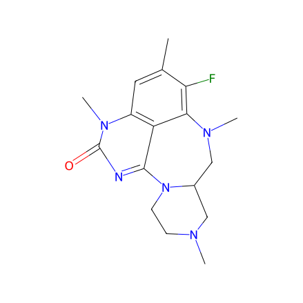 Cc1cc2c3c(nc(=O)n2C)N2CCN(C)CC2CN(C)c3c1F